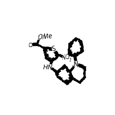 COC(=O)c1cc(Nc2ccc3c(c2)N(c2ccccc2)CCC3)c([N+](=O)[O-])s1